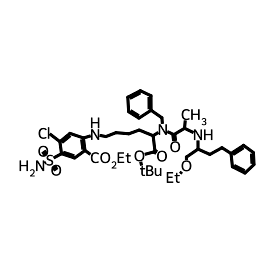 CCOCC(CCc1ccccc1)NC(C)C(=O)N(Cc1ccccc1)C(CCCCNc1cc(Cl)c(S(N)(=O)=O)cc1C(=O)OCC)C(=O)OC(C)(C)C